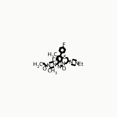 C=CC(=O)N1C[C@H](C)N(c2nc(=O)n3c4c(c(-c5ccc(F)cc5)c(C)cc24)SCC(N2CCN(CC)CC2)C3)C[C@H]1C